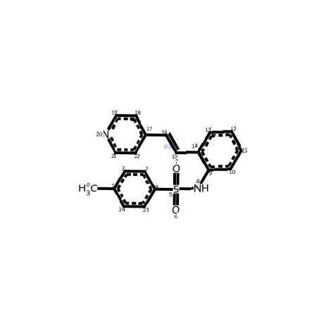 Cc1ccc(S(=O)(=O)Nc2ccccc2/C=C/c2ccncc2)cc1